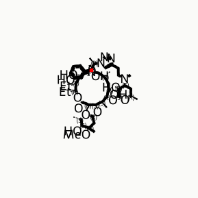 CC[C@H]1OC(=O)[C@H](C)[C@@H](O[C@H]2C[C@@](C)(OC)[C@@H](O)[C@H](C)O2)[C@H](C)[C@@H](O[C@@H]2O[C@H](C)C[C@H](N(C)CCc3cn([C@H](C)[C@H](O)c4ccccc4)nn3)[C@H]2O)[C@](C)(O)C[C@@H](C)CN(C)[C@H](C)[C@@H](O)[C@@]1(O)CC